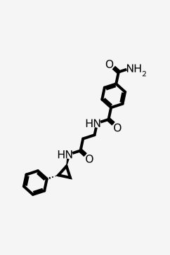 NC(=O)c1ccc(C(=O)NCCC(=O)N[C@H]2C[C@@H]2c2ccccc2)cc1